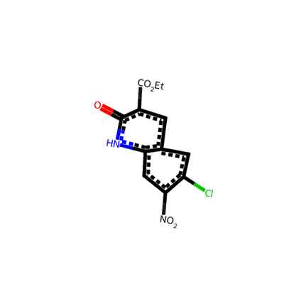 CCOC(=O)c1cc2cc(Cl)c([N+](=O)[O-])cc2[nH]c1=O